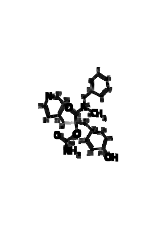 CN(Cc1ccccc1)C(=O)[C@@](Cc1ccncc1)(Cc1ccc(O)cc1)OC(N)=O